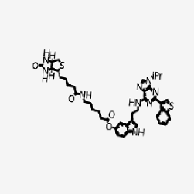 CC(C)n1cnc2c(NCCc3c[nH]c4ccc(OC(=O)CCCCCNC(=O)CCCC[C@@H]5SC[C@@H]6NC(=O)N[C@@H]65)cc34)nc(-c3csc4ccccc34)nc21